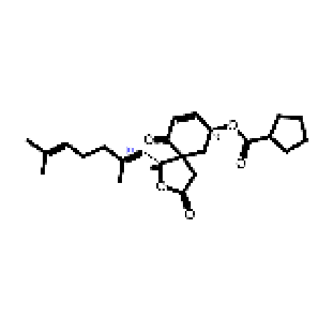 CC(C)=CCC/C(C)=C/[C@H]1OC(=O)CC12C[C@H](OC(=O)C1CCCC1)C=CC2=O